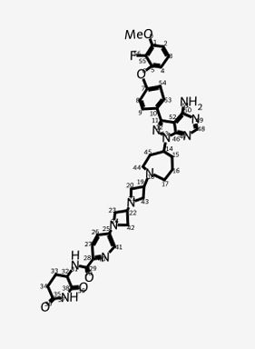 COc1cccc(Oc2ccc(-c3nn(C4CCCN(C5CN(C6CN(c7ccc(C(=O)NC8CCC(=O)NC8=O)nc7)C6)C5)CC4)c4ncnc(N)c34)cc2)c1F